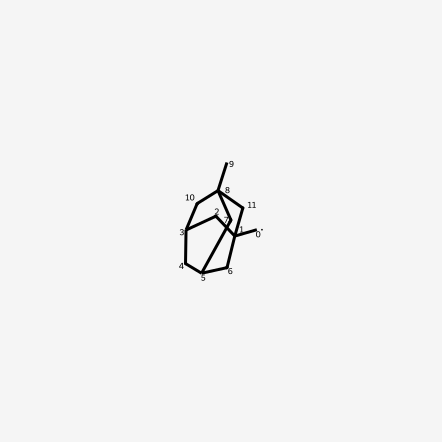 [CH2]C12CC3CC(C1)CC(C)(C3)C2